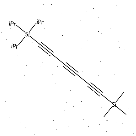 CC(C)[Si](C#CC#CC#C[Si](C)(C)C)(C(C)C)C(C)C